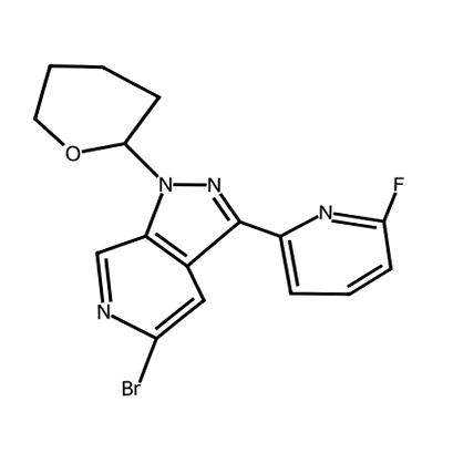 Fc1cccc(-c2nn(C3CCCCO3)c3cnc(Br)cc23)n1